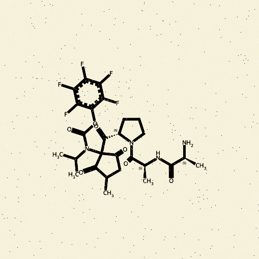 CC1CC(=O)C(C(=O)[C@@H]2CCCN2C(=O)[C@H](C)NC(=O)[C@H](C)N)(N(C(=O)Oc2c(F)c(F)c(F)c(F)c2F)C(C)C)C1=O